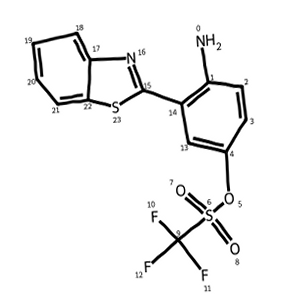 Nc1ccc(OS(=O)(=O)C(F)(F)F)cc1-c1nc2ccccc2s1